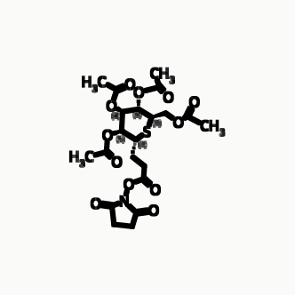 CC(=O)OC[C@H]1S[C@H](CCC(=O)ON2C(=O)CCC2=O)[C@@H](OC(C)=O)[C@@H](OC(C)=O)[C@@H]1OC(C)=O